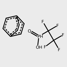 O=[PH](O)C(F)(F)C(F)(F)F.c1cc2ccc1cc2